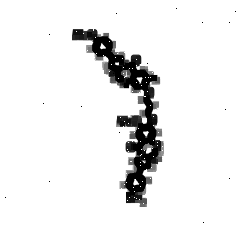 COc1ccc(C2=CN3C(=O)c4cc(C)c(OCCCOc5cc6c(cc5OC)C(=O)N5C=C(c7ccc(N)cc7)C[C@@]5(C)C=N6)cc4N=C[C@]3(C)C2)cc1